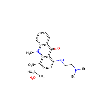 CCN(CC)CCNc1ccc([N+](=O)[O-])c2c1c(=O)c1ccccc1n2C.CS(=O)(=O)O.O